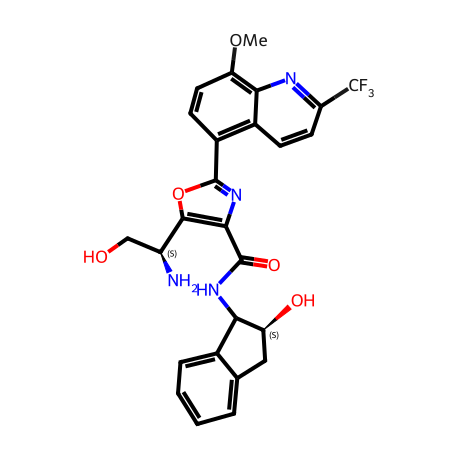 COc1ccc(-c2nc(C(=O)NC3c4ccccc4C[C@@H]3O)c([C@@H](N)CO)o2)c2ccc(C(F)(F)F)nc12